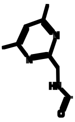 Cc1cc(C)nc(CN[C]=O)n1